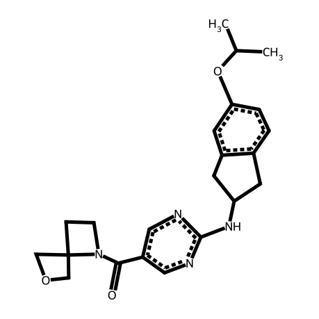 CC(C)Oc1ccc2c(c1)CC(Nc1ncc(C(=O)N3CCC34COC4)cn1)C2